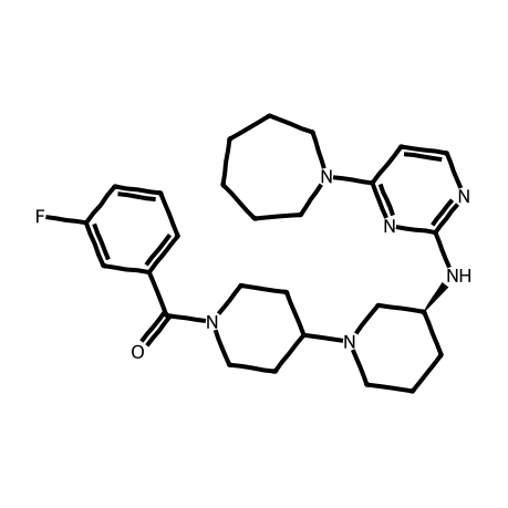 O=C(c1cccc(F)c1)N1CCC(N2CCC[C@H](Nc3nccc(N4CCCCCC4)n3)C2)CC1